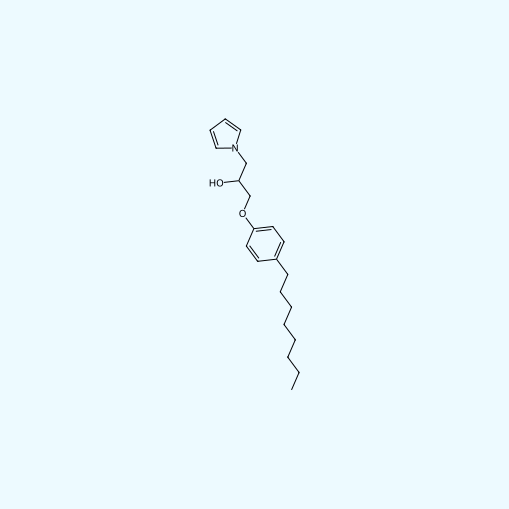 CCCCCCCCc1ccc(OCC(O)Cn2cccc2)cc1